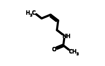 CC/C=C\CNC(C)=O